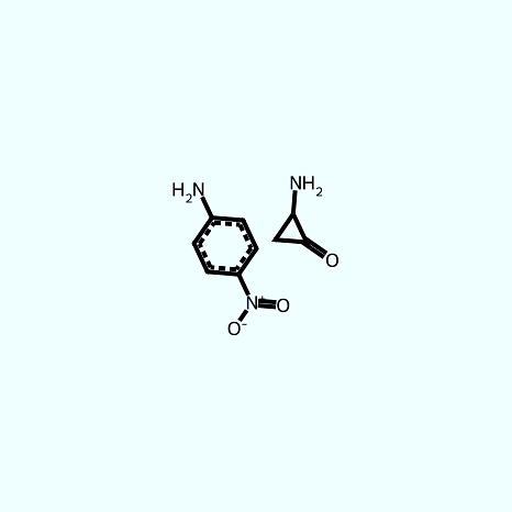 NC1CC1=O.Nc1ccc([N+](=O)[O-])cc1